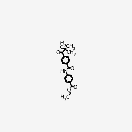 CCOC(=O)c1ccc(NC(=O)c2ccc(C(=O)C(C)(C)C)cc2)cc1